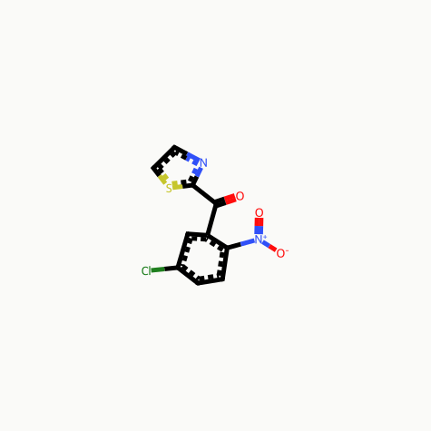 O=C(c1nccs1)c1cc(Cl)ccc1[N+](=O)[O-]